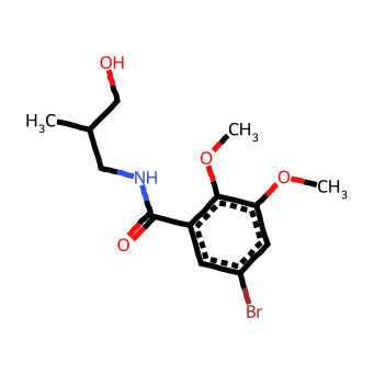 COc1cc(Br)cc(C(=O)NCC(C)CO)c1OC